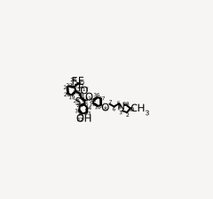 C[C@@H]1CCN(CCCOc2ccc(Oc3c(C(=O)c4ccccc4C(F)(F)F)sc4cc(O)ccc34)cc2)C1